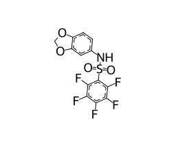 O=S(=O)(Nc1ccc2c(c1)OCO2)c1c(F)c(F)c(F)c(F)c1F